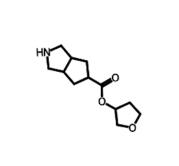 O=C(OC1CCOC1)C1CC2CNCC2C1